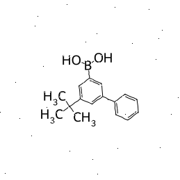 CC(C)(C)c1cc(B(O)O)cc(-c2ccccc2)c1